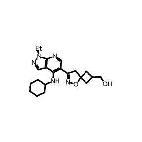 CCn1ncc2c(NC3CCCCC3)c(C3=NOC4(C3)CC(CO)C4)cnc21